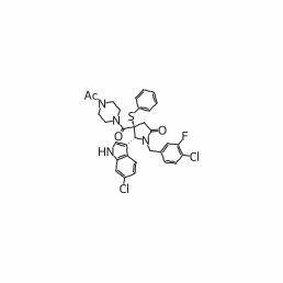 CC(=O)N1CCN(C(=O)[C@]2(Sc3ccccc3)CC(=O)N(Cc3ccc(Cl)c(F)c3)[C@@H]2c2c[nH]c3cc(Cl)ccc23)CC1